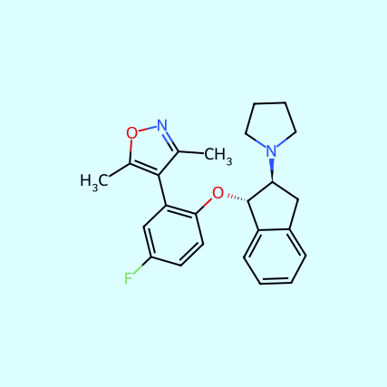 Cc1noc(C)c1-c1cc(F)ccc1O[C@H]1c2ccccc2C[C@@H]1N1CCCC1